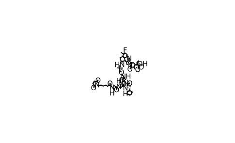 CC[C@@]1(O)C(=O)OCc2c1cc1n(c2=O)Cc2c-1nc1cc(F)c(C)c3c1c2[C@@H](NCC(C)(C)COCNC(=O)CNC(=O)[C@H](Cc1ccccc1)NC(=O)CNC(=O)CNC(=O)CCCCCN1C(=O)C=CC1=O)CC3